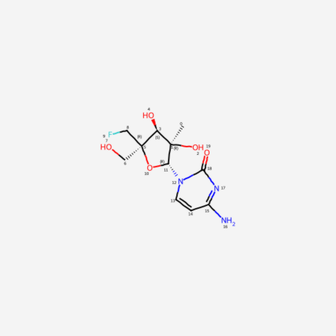 C[C@@]1(O)[C@H](O)[C@](CO)(CF)O[C@H]1n1ccc(N)nc1=O